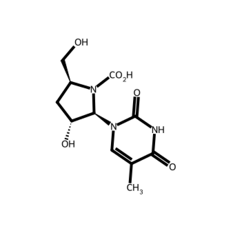 Cc1cn([C@H]2[C@H](O)C[C@@H](CO)N2C(=O)O)c(=O)[nH]c1=O